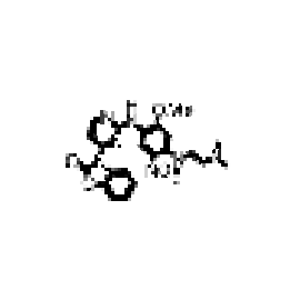 COc1cc(N(C)CCN(C)C)c([N+](=O)[O-])cc1Nc1nccc(-n2c(=O)oc3ccccc32)n1